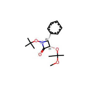 COC(C)(C)O[C@@H]1C(=O)N(OC(C)(C)C)[C@@H]1c1ccccc1